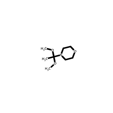 COC(C)(OC)N1CCOCC1